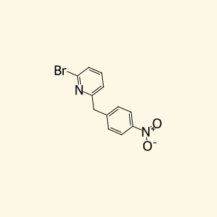 O=[N+]([O-])c1ccc(Cc2cccc(Br)n2)cc1